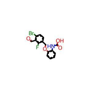 O=Cc1c(Br)ccc(COc2ccccc2NC(=O)O)c1F